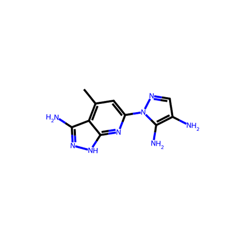 Cc1cc(-n2ncc(N)c2N)nc2[nH]nc(N)c12